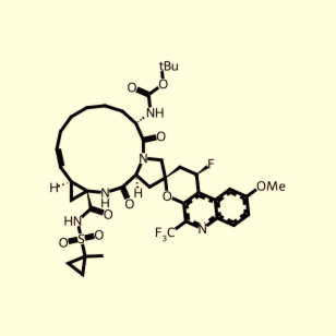 COc1ccc2nc(C(F)(F)F)c3c(c2c1)[C@H](F)C[C@]1(C[C@H]2C(=O)N[C@]4(C(=O)NS(=O)(=O)C5(C)CC5)C[C@H]4/C=C\CCCCC[C@H](NC(=O)OC(C)(C)C)C(=O)N2C1)O3